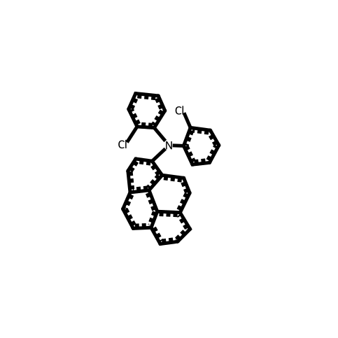 Clc1ccccc1N(c1ccccc1Cl)c1ccc2ccc3cccc4ccc1c2c34